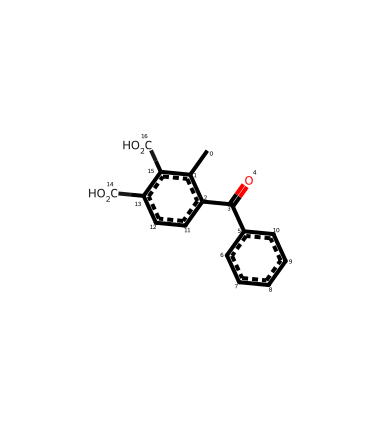 Cc1c(C(=O)c2ccccc2)ccc(C(=O)O)c1C(=O)O